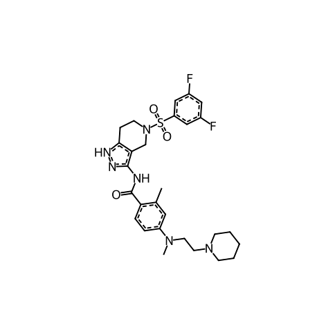 Cc1cc(N(C)CCN2CCCCC2)ccc1C(=O)Nc1n[nH]c2c1CN(S(=O)(=O)c1cc(F)cc(F)c1)CC2